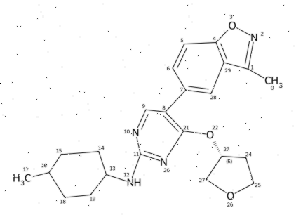 Cc1noc2ccc(-c3cnc(NC4CCC(C)CC4)nc3O[C@@H]3CCOC3)cc12